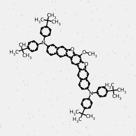 COc1c2oc3cc4cc(N(c5ccc(C(C)(C)C)cc5)c5ccc(C(C)(C)C)cc5)ccc4cc3c2cc2c1oc1cc3cc(N(c4ccc(C(C)(C)C)cc4)c4ccc(C(C)(C)C)cc4)ccc3cc12